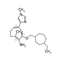 CCC1CCCC(COC2=C/C(c3cn(C)cn3)=C\CC\C(C)=C\2N)CC1